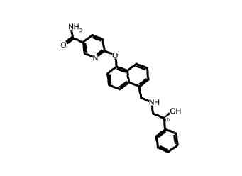 NC(=O)c1ccc(Oc2cccc3c(CNC[C@@H](O)c4ccccc4)cccc23)nc1